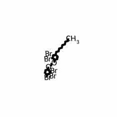 CCCCCCCCCc1ccc(OCCOc2ccc(Br)c(Br)c2Br)c(Br)c1Br